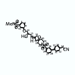 CNS(=O)(=O)c1cccc(OC[C@@H](O)CN[C@@H]2COC3(CCN(S(=O)(=O)c4cccc(-c5ccc(CC#N)cc5)c4)CC3)C2)c1